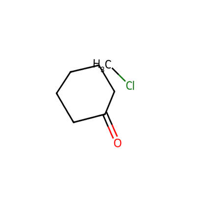 CCl.O=C1CCCCC1